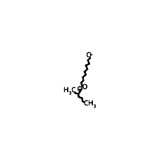 CCCCC(CC)COC(=O)CCCCCCCCCC[O]